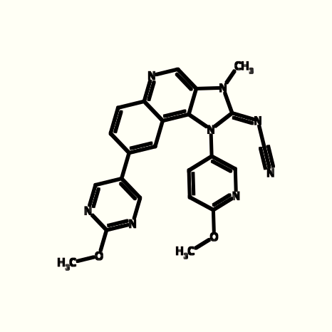 COc1ccc(-n2c(=NC#N)n(C)c3cnc4ccc(-c5cnc(OC)nc5)cc4c32)cn1